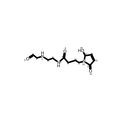 O=CCNCCNC(=O)CCCN1C(=O)C=CC1O